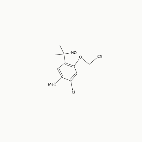 COc1cc(C(C)(C)N=O)c(OCC#N)cc1Cl